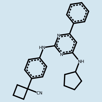 N#CC1(c2ccc(Nc3nc(NC4CCCC4)cc(-c4ccccc4)n3)cc2)CCC1